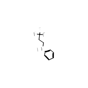 FC(F)(F)CCPc1ccccc1